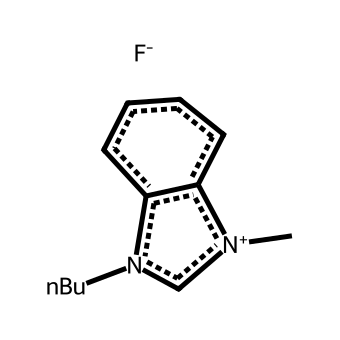 CCCCn1c[n+](C)c2ccccc21.[F-]